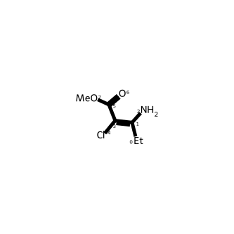 CC/C(N)=C(\Cl)C(=O)OC